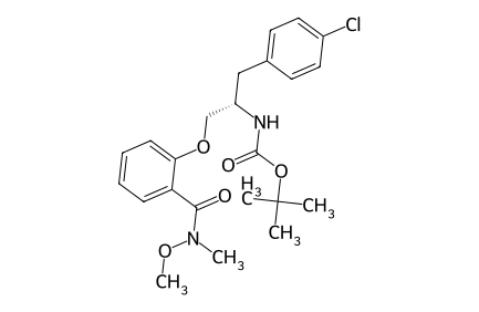 CON(C)C(=O)c1ccccc1OC[C@H](Cc1ccc(Cl)cc1)NC(=O)OC(C)(C)C